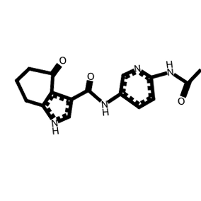 CC(=O)Nc1ccc(NC(=O)c2c[nH]c3c2C(=O)CCC3)cn1